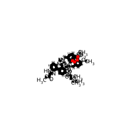 COC(=O)c1nc2c(-c3ccc(S(=O)(=O)CC[Si](C)(C)C)c(S(=O)(=O)N(Cc4ccc(OC)cc4)Cc4ccc(OC)cc4)c3-c3nnn(Cc4ccc(OC)cc4)n3)cccc2[nH]1